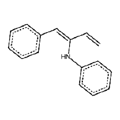 C=CC(=Cc1ccccc1)Nc1ccccc1